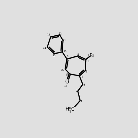 CCCCc1cc(Br)cc(-c2ccccc2)cc1=O